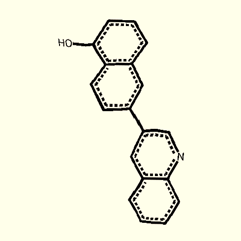 Oc1cccc2cc(-c3cnc4ccccc4c3)ccc12